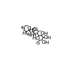 CSC1OC([C@H](NC(=O)[C@H]2NC[C@@H]3CN(C)CCO[C@H]32)[C@H](C)Cl)C(O)C(O)C1O